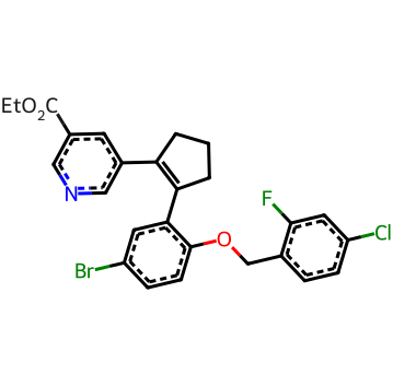 CCOC(=O)c1cncc(C2=C(c3cc(Br)ccc3OCc3ccc(Cl)cc3F)CCC2)c1